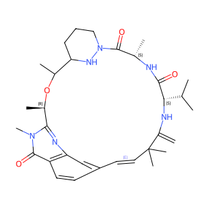 C=C1N[C@@H](C(C)C)C(=O)N[C@@H](C)C(=O)N2CCCC(N2)C(C)O[C@H](C)c2nc3cc(ccc3c(=O)n2C)/C=C/C1(C)C